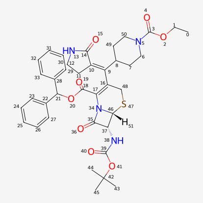 CCOC(=O)N1CCC(C(=C2CCNC2=O)C2=C(C(=O)OC(c3ccccc3)c3ccccc3)N3C(=O)[C@@H](NC(=O)OC(C)(C)C)[C@H]3SC2)CC1